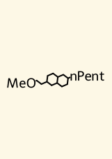 CCCCCC1CCC2CC(CCOC)CCC2C1